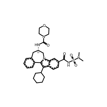 CN(C)S(=O)(=O)NC(=O)c1ccc2c(C3CCCCC3)c3n(c2c1)C[C@@H](NC(=O)N1CCOCC1)Cc1ccccc1-3